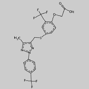 Cc1nn(-c2ccc(C(F)(F)F)cc2)nc1CSc1ccc(OCC(=O)O)c(C(F)(F)F)c1